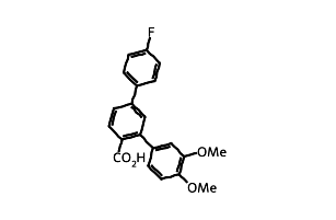 COc1ccc(-c2cc(-c3ccc(F)cc3)ccc2C(=O)O)cc1OC